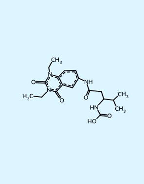 CCn1c(=O)c2cc(NC(=O)CC(NC(=O)O)C(C)C)ccc2n(CC)c1=O